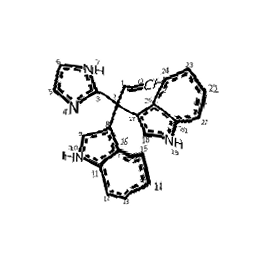 C=CC(c1ncc[nH]1)(c1c[nH]c2ccccc12)c1c[nH]c2ccccc12